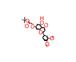 COc1ccc(-c2cc(=O)c3c(O)cc(OCC(=O)OC(C)(C)C)cc3o2)cc1OC